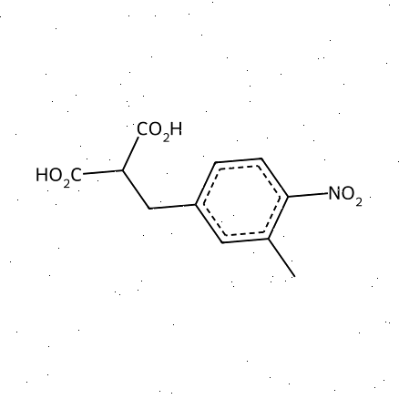 Cc1cc(CC(C(=O)O)C(=O)O)ccc1[N+](=O)[O-]